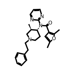 Cc1cc(C(=O)N(c2ncccn2)[C@@H]2CCN(CCc3ccccc3)C[C@H]2C)c(C)o1